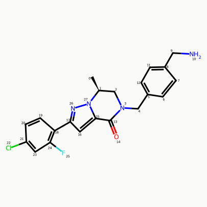 C[C@H]1CN(Cc2ccc(CN)cc2)C(=O)c2cc(-c3ccc(Cl)cc3F)nn21